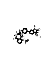 CN1C(=O)c2cccc(OC(F)F)c2[C@H]2C[C@@H]1c1nc3ccc(-c4ccc5c(c4)NC(=O)C5(C)N)cc3n12